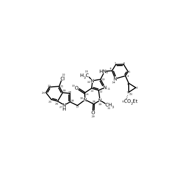 CCOC(=O)[C@H]1CC1c1cccc(Nc2nc3c(c(=O)n(Cc4cc5c(Cl)cccc5[nH]4)c(=O)n3C)n2C)n1